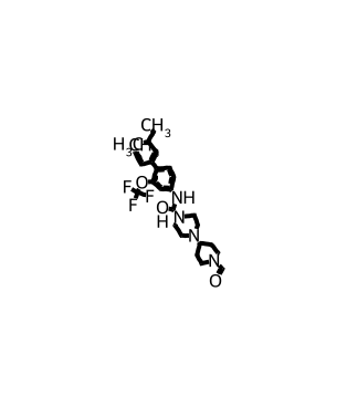 C/C=C\C(=C/C(C)CC)c1ccc(NC(O)N2CCN(C3CCN(C=O)CC3)CC2)cc1OC(F)(F)F